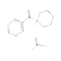 NC(N)=O.O=C(c1ccccc1)C1(O)CCCCC1